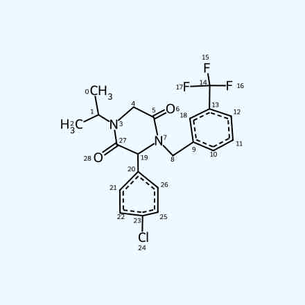 CC(C)N1CC(=O)N(Cc2cccc(C(F)(F)F)c2)C(c2ccc(Cl)cc2)C1=O